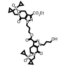 CCOC(=O)c1nn(CCCOC(=O)c2nn(CCCO)c3c2CCN(CC2(S(=O)(=O)C4CC4)CC2)C3=O)c2c1CCN(CC1(S(=O)(=O)C3CC3)CC1)C2=O